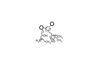 BN(CCC)CC(O)COc1ccccc1/C(=C/Cc1ccccc1)OC(=O)CCC(=O)NC(C(=O)O)C(C)C